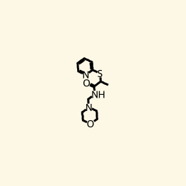 CC(Sc1ccccn1)C(=O)NCN1CCOCC1